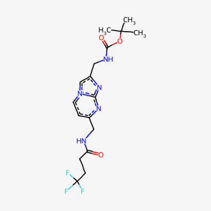 CC(C)(C)OC(=O)NCc1cn2ccc(CNC(=O)CCC(F)(F)F)nc2n1